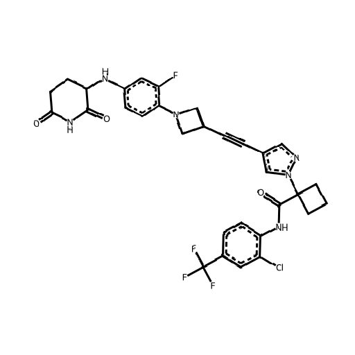 O=C1CCC(Nc2ccc(N3CC(C#Cc4cnn(C5(C(=O)Nc6ccc(C(F)(F)F)cc6Cl)CCC5)c4)C3)c(F)c2)C(=O)N1